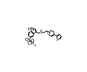 CS(=O)(=O)c1ccc2[nH]cc(CSCCN3CC=C(c4cccs4)CC3)c2c1